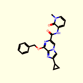 Cn1cccc(NC(=O)c2cn3cc(C4CC4)nc3c(OCc3ccccc3)n2)c1=O